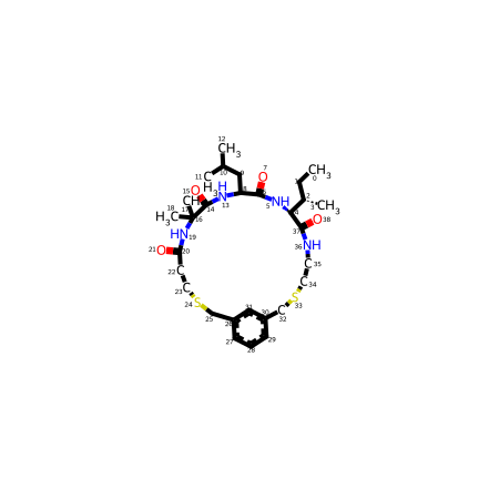 CC[C@H](C)[C@@H]1NC(=O)C(CC(C)C)NC(=O)C(C)(C)NC(=O)CCSCc2cccc(c2)CSCCNC1=O